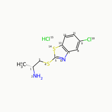 C[C@@H](N)CSc1nc2cc(Cl)ccc2s1.Cl